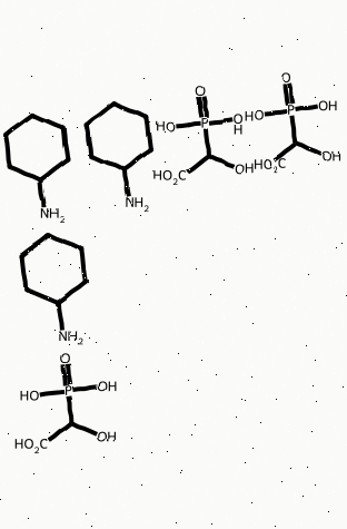 NC1CCCCC1.NC1CCCCC1.NC1CCCCC1.O=C(O)C(O)P(=O)(O)O.O=C(O)C(O)P(=O)(O)O.O=C(O)C(O)P(=O)(O)O